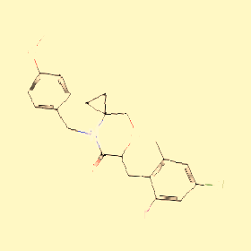 COc1ccc(CN2C(=O)C(Cc3c(C)cc(Cl)cc3I)OCC23CC3)cc1